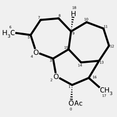 CC(=O)O[C@@H]1OC2OC(C)CC[C@H]3CCCC(CC23)C1C